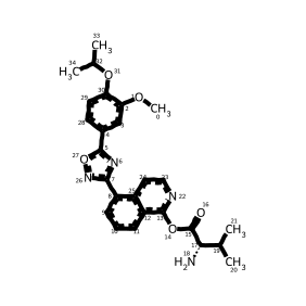 COc1cc(-c2nc(-c3cccc4c(OC(=O)[C@@H](N)C(C)C)nccc34)no2)ccc1OC(C)C